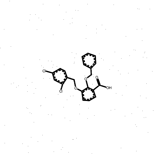 O=C(O)c1cccc(OCc2ccc(Cl)cc2Cl)c1OCc1ccccc1